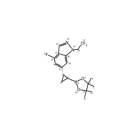 CC1(C)OB(C2C[C@@H]2c2cc(F)c3cnn(CC(F)(F)F)c3c2)OC1(C)C